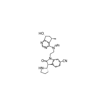 CCCN(CCN1C(=O)[C@H]([C@@H]2CCCN2)c2ccc(C#N)cc21)c1ncnc2c1[C@H](C)C[C@H]2O